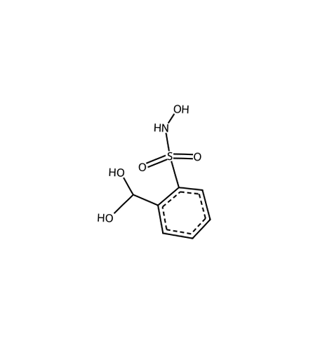 O=S(=O)(NO)c1ccccc1C(O)O